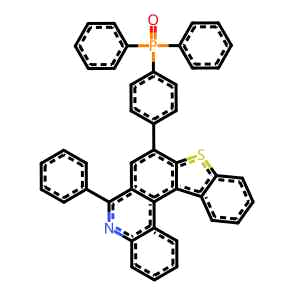 O=P(c1ccccc1)(c1ccccc1)c1ccc(-c2cc3c(-c4ccccc4)nc4ccccc4c3c3c2sc2ccccc23)cc1